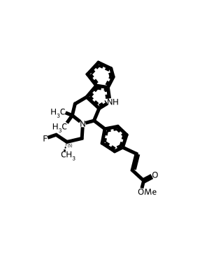 COC(=O)C=Cc1ccc(C2c3[nH]c4ccccc4c3CC(C)(C)N2C[C@H](C)CF)cc1